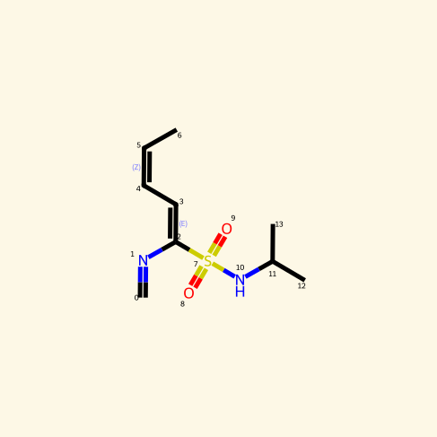 C=N/C(=C\C=C/C)S(=O)(=O)NC(C)C